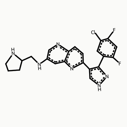 Fc1cc(F)c(-c2n[nH]cc2-c2ccc3ncc(NCC4CCCN4)cc3n2)cc1Cl